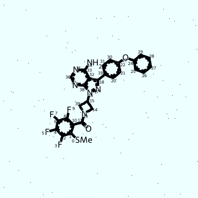 CSc1c(F)c(F)c(F)c(F)c1C(=O)N1CC(n2nc(-c3ccc(Oc4ccccc4)cc3)c3c(N)ncnc32)C1